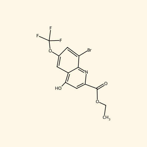 CCOC(=O)c1cc(O)c2cc(OC(F)(F)F)cc(Br)c2n1